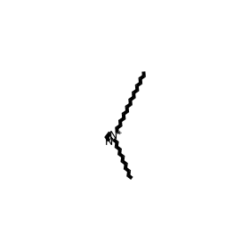 CCCCCCCCCCCCCCCCCC[n+]1ccn(C)c1CCCCCCCCCCC